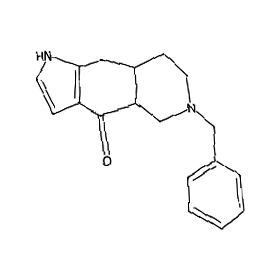 O=C1c2cc[nH]c2CC2CCN(Cc3ccccc3)CC12